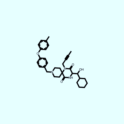 CC#CCN1C(=O)C(C(O)C2CCCCC2)NC(=O)C12CCN(Cc1ccc(Oc3ccc(C)cc3)cc1)CC2